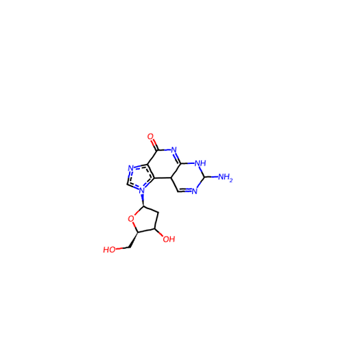 NC1N=CC2C(=NC(=O)c3ncn([C@H]4CC(O)[C@@H](CO)O4)c32)N1